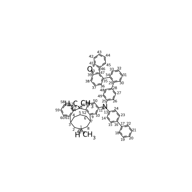 C[C@H]1CC2CCCC(C1)c1cc(N(c3ccc(-c4ccccc4)cc3)c3ccc(-c4ccccc4-c4cccc5oc6ccccc6c45)cc3)ccc1C(C)(C)c1ccccc12